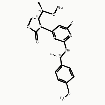 C[C@H](Nc1nc(Cl)cc(N2C(=O)OC[C@@H]2[C@@H](C)OC(C)(C)C)n1)c1ccc(OC(F)(F)F)cc1